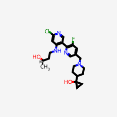 C[C@@H](O)CCNc1cc(Cl)ncc1-c1ncc(CN2CCC(C3(O)CC3)CC2)cc1F